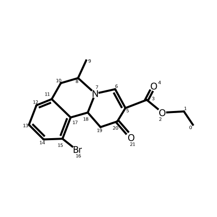 CCOC(=O)C1=CN2C(C)Cc3cccc(Br)c3C2CC1=O